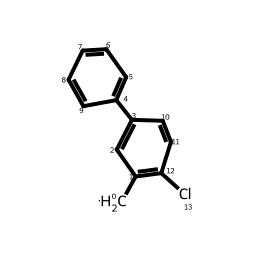 [CH2]c1cc(-c2ccccc2)ccc1Cl